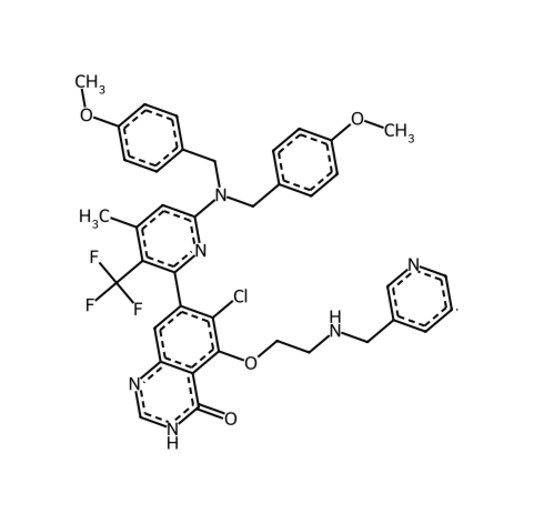 COc1ccc(CN(Cc2ccc(OC)cc2)c2cc(C)c(C(F)(F)F)c(-c3cc4nc[nH]c(=O)c4c(OCCNCc4c[c]cnc4)c3Cl)n2)cc1